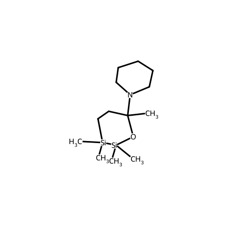 CC1(N2CCCCC2)CC[Si](C)(C)[Si](C)(C)O1